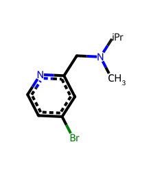 CC(C)N(C)Cc1cc(Br)ccn1